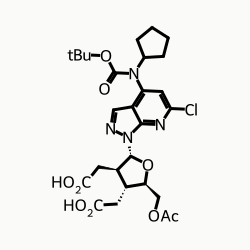 CC(=O)OC[C@@H]1O[C@@H](n2ncc3c(N(C(=O)OC(C)(C)C)C4CCCC4)cc(Cl)nc32)[C@H](CC(=O)O)[C@H]1CC(=O)O